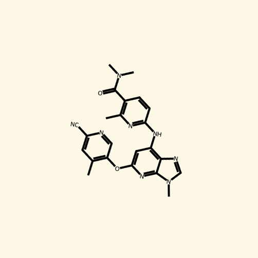 Cc1cc(C#N)ncc1Oc1cc(Nc2ccc(C(=O)N(C)C)c(C)n2)c2ncn(C)c2n1